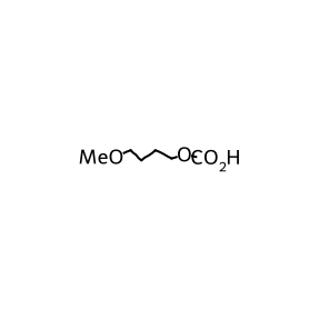 COCCCCOC(=O)O